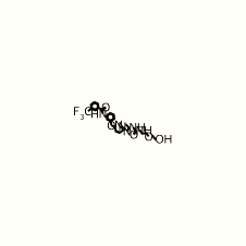 O=C(NCCOCCO)NC1CN2N=C(Oc3cccc(NC(=O)c4cccc(C(F)(F)F)c4)c3)C=CC2=N1